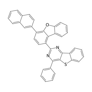 c1ccc(-c2nc(-c3ccc(-c4ccc5ccccc5c4)c4oc5ccccc5c34)nc3c2sc2ccccc23)cc1